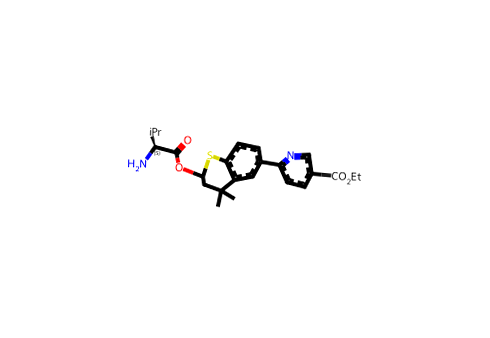 CCOC(=O)c1ccc(-c2ccc3c(c2)C(C)(C)CC(OC(=O)[C@@H](N)C(C)C)S3)nc1